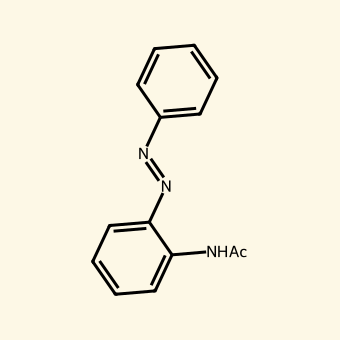 CC(=O)Nc1ccccc1N=Nc1ccccc1